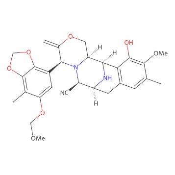 C=C1OC[C@H]2[C@@H]3N[C@@H](Cc4cc(C)c(OC)c(O)c43)[C@@H](C#N)N2[C@H]1c1cc(OCOC)c(C)c2c1OCO2